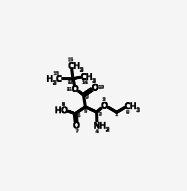 CCOC(N)C(C(=O)O)C(=O)OC(C)(C)C